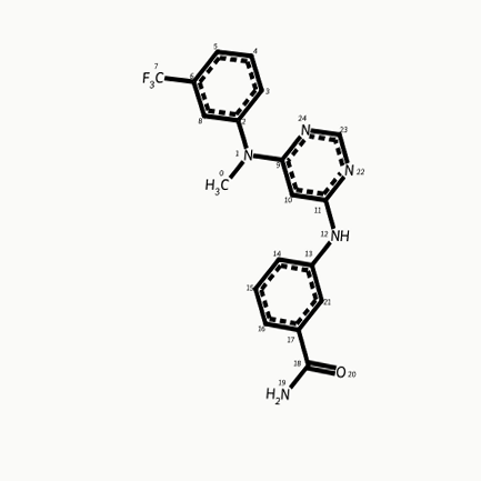 CN(c1cccc(C(F)(F)F)c1)c1cc(Nc2cccc(C(N)=O)c2)ncn1